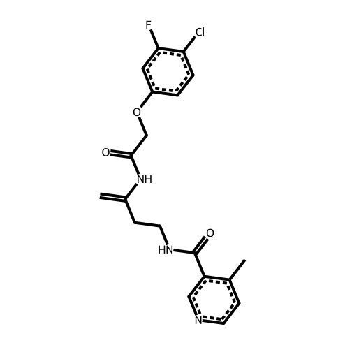 C=C(CCNC(=O)c1cnccc1C)NC(=O)COc1ccc(Cl)c(F)c1